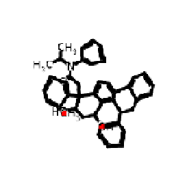 Cc1ccccc1C1(CC(=O)N(c2ccccc2)C(C)C)c2ccc3c(c2C(O)CC1O)C(c1ccccc1)Cc1ccccc1-3